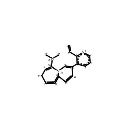 C=Cc1ncccc1C1=CN2C(=C=CCC=C2N(C)C)C=C1